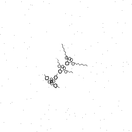 CCCCCCCCOC(=O)c1ccccc1C(=O)OCCCCCCCC.CCCCOC(=O)c1ccccc1C(=O)OCCCC.Cc1ccc(OP(=O)(Oc2ccc(C)cc2)Oc2ccc(C)cc2)cc1